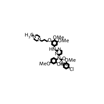 COc1ccc(N(C(=O)Oc2ccc(Cl)cc2OC)c2ccnc(Nc3cc(OC)c(OC)c(OCCCN4CCN(C)CC4)c3)n2)c(OC)c1